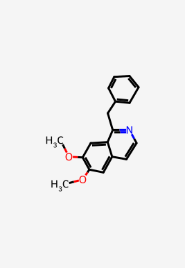 COc1cc2ccnc(Cc3ccccc3)c2cc1OC